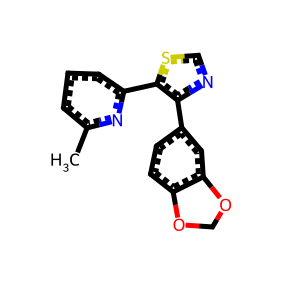 Cc1cccc(-c2scnc2-c2ccc3c(c2)OCO3)n1